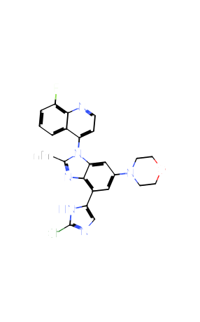 CCCc1nc2c(-c3cnc(Cl)[nH]3)cc(N3CCOCC3)cc2n1-c1ccnc2c(F)cccc12